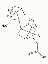 CC1CCC2CC1(C13CC(C(CC(=O)O)CC1C)C3(C)C)C2(C)C